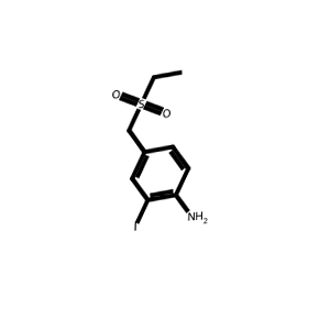 CCS(=O)(=O)Cc1ccc(N)c(I)c1